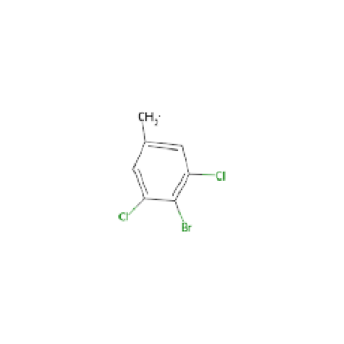 [CH2]c1cc(Cl)c(Br)c(Cl)c1